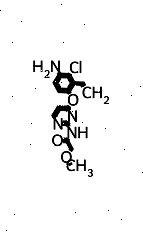 C=Cc1c(Oc2ccnc(NC(=O)COC)n2)ccc(N)c1Cl